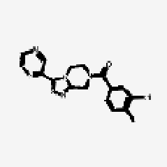 Cc1ccc(C(=O)N2CCn3c(nnc3-c3cnccn3)C2)cc1Cl